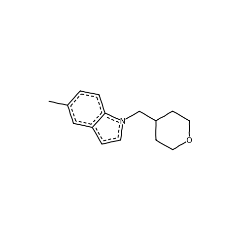 Cc1ccc2c(ccn2CC2CCOCC2)c1